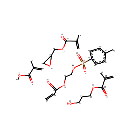 C=C(C)C(=O)OC.C=C(C)C(=O)OCC1CO1.C=C(C)C(=O)OCCCO.C=CC(=O)OCCOS(=O)(=O)c1ccc(C)cc1